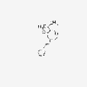 CC(C)C1COCCC(/C=C/c2ccccc2)CC1=O